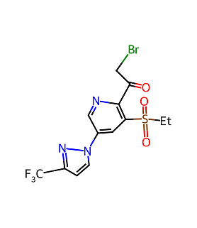 CCS(=O)(=O)c1cc(-n2ccc(C(F)(F)F)n2)cnc1C(=O)CBr